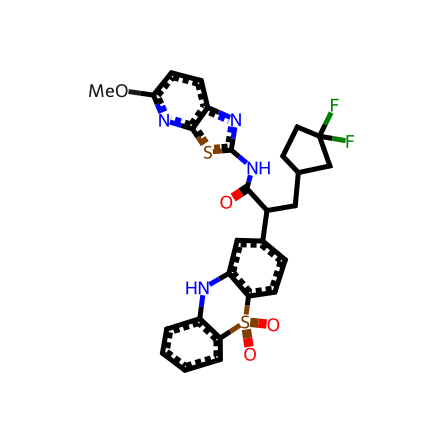 COc1ccc2nc(NC(=O)C(CC3CCC(F)(F)C3)c3ccc4c(c3)Nc3ccccc3S4(=O)=O)sc2n1